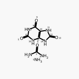 N.NC(N)=O.O=c1[nH]c(=O)c2[nH]c(=O)[nH]c2[nH]1